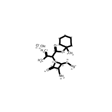 C=C(C)C(C(=O)OC1(C)CCCCC1)N1C(=O)C(N)C1[S][Hg+].Cl.[Cl-]